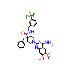 COc1cc2nc(N3CCC(Cc4ccccc4)(C(=O)NCc4cccc(C(F)(F)F)c4)CC3)nc(N)c2cc1OC